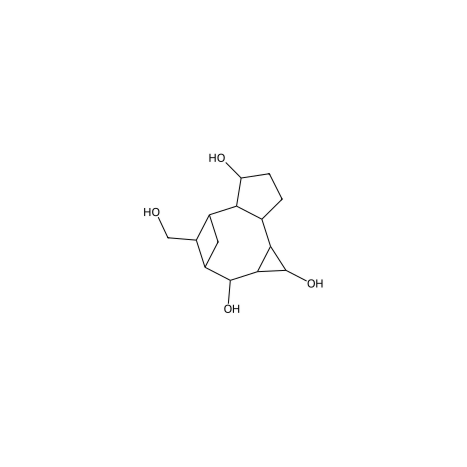 OCC1C2CC1C1C(O)CCC1C1C(O)C1C2O